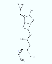 C/C=C\C(C)CC(=O)OC1CC2C1OC(O)[C@@H]2CC1CC1